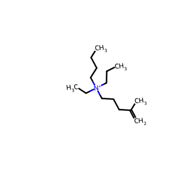 C=C(C)CCC[N+](CC)(CCC)CCCC